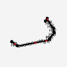 Cn1cc(NC(=O)c2nc(NC(=O)CCNC(=O)OCC3c4ccccc4-c4ccccc43)cn2C)cc1C(=O)NCCC(=O)Nc1cn(C)c(C(=O)NCCC(=O)NCCOCCOCCOCCOCCOCCOCCOCCOCCOc2ccc(NC(=O)OCc3ccccc3)cc2)n1